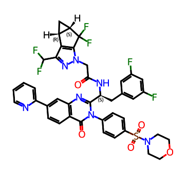 O=C(Cn1nc(C(F)F)c2c1C(F)(F)[C@H]1C[C@@H]21)N[C@@H](Cc1cc(F)cc(F)c1)c1nc2cc(-c3ccccn3)ccc2c(=O)n1-c1ccc(S(=O)(=O)N2CCOCC2)cc1